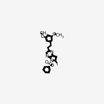 COc1cc(CCc2cnc3c(cc(I)n3S(=O)(=O)c3ccccc3)n2)cc(OC)c1